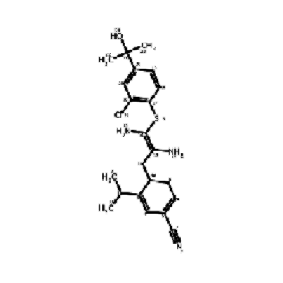 CC(C)C1=CC(C#N)=CCC1C/C(N)=C(\N)Sc1ccc(C(C)(C)O)cc1Cl